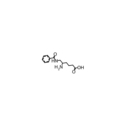 NC(CCCC(=O)O)CNC(=O)c1ccccc1